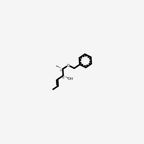 CC=C[C@@H](O)[C@H](C)OCc1ccccc1